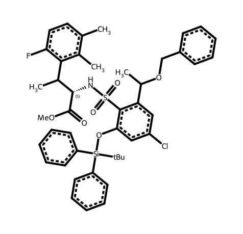 COC(=O)[C@@H](NS(=O)(=O)c1c(O[Si](c2ccccc2)(c2ccccc2)C(C)(C)C)cc(Cl)cc1C(C)OCc1ccccc1)C(C)c1c(F)ccc(C)c1C